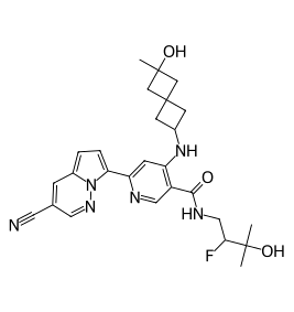 CC1(O)CC2(CC(Nc3cc(-c4ccc5cc(C#N)cnn45)ncc3C(=O)NCC(F)C(C)(C)O)C2)C1